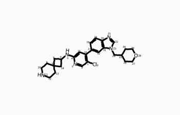 Clc1cnc(NC2CC3(CCNCC3)C2)cc1-c1ccc2ncn(CC3CCOCC3)c2c1